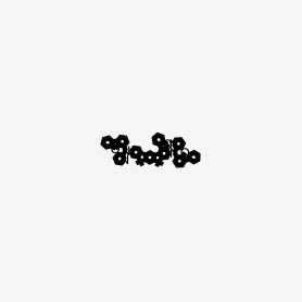 CC1(C)c2cc(N(c3ccccn3)c3cccc4c3oc3ccccc34)ccc2-c2cc3c(cc21)C(C)(C)c1cc(N(c2ccccn2)c2cccc4c2oc2ccccc24)c2oc4ccccc4c2c1-3